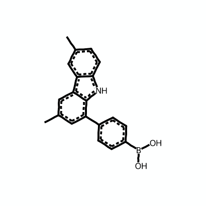 Cc1ccc2[nH]c3c(-c4ccc(B(O)O)cc4)cc(C)cc3c2c1